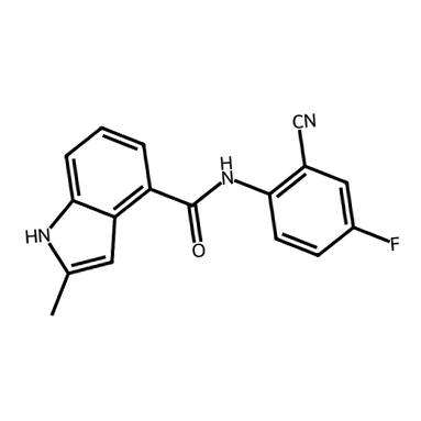 Cc1cc2c(C(=O)Nc3ccc(F)cc3C#N)cccc2[nH]1